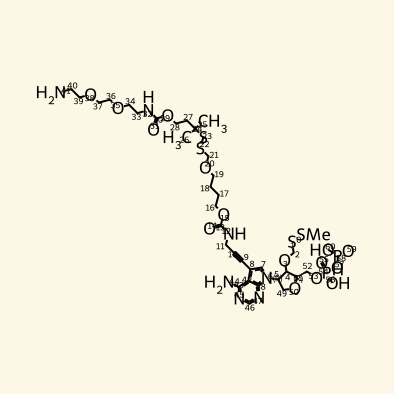 CSSCOC1[C@H](n2cc(C#CCNC(=O)OCCCCOCSSC(C)(C)CCOC(=O)NCCOCCOCCN)c3c(N)ncnc32)CO[C@@H]1COP(=O)(O)O[PH](=O)O